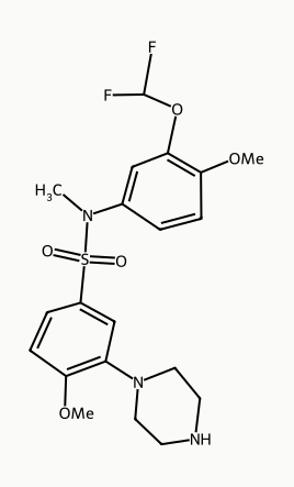 COc1ccc(N(C)S(=O)(=O)c2ccc(OC)c(N3CCNCC3)c2)cc1OC(F)F